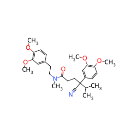 COc1ccc(CCN(C)C(=O)CCC(C#N)(c2ccc(OC)c(OC)c2)C(C)C)cc1OC